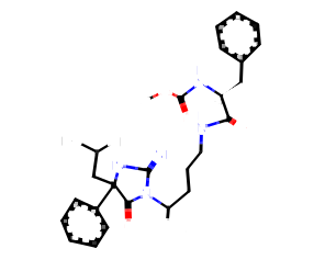 COC(=O)N[C@@H](Cc1ccccc1)C(=O)NCCCC(C)N1C(=N)NC(CC(C)C)(c2ccccc2)C1=O